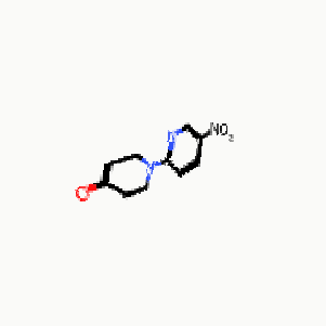 O=C1CCN(c2ccc([N+](=O)[O-])cn2)CC1